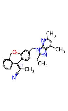 CCc1nc2c(C)cc(C)nc2n1Cc1ccc2c(c1)OCc1ccccc1/C2=C(/C)C#N